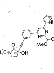 COC(=O)c1nc(-c2cccc(C#C[C@]3(O)CCN(C)C3=O)c2)cc(-c2ccn[nH]2)n1